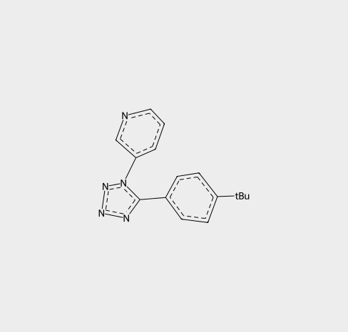 CC(C)(C)c1ccc(-c2nnnn2-c2cccnc2)cc1